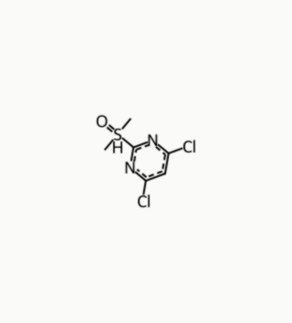 C[SH](C)(=O)c1nc(Cl)cc(Cl)n1